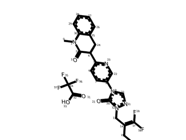 CN1C(=O)C(c2ccc(-n3cnn(CC(CN)=C(F)F)c3=O)cn2)Cc2ccccc21.O=C(O)C(F)(F)F